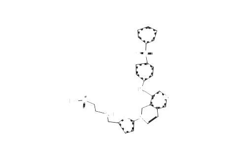 CS(=O)(=O)CCNCc1ccc(N2C=Cc3cncc(Nc4ccc(S(=O)(=O)c5ccccc5)cc4)c3C2)o1